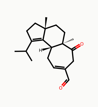 CC(C)C1=C2[C@H]3CC=C(C=O)CC(=O)[C@]3(C)CC[C@@]2(C)CC1